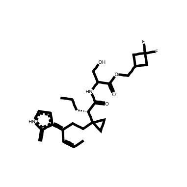 C=c1[nH]cc/c1=C(/C=C\C)CCC1([C@H](CCC)C(=O)NC(CO)C(=O)OCC2CC(F)(F)C2)CC1